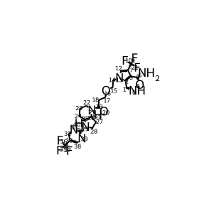 N=Cc1c(C(N)=O)c(C(F)(F)F)cn1CCOCCC(=O)N1CCC[C@@H]2[C@H]1CCN2c1ncc(C(F)(F)F)cn1